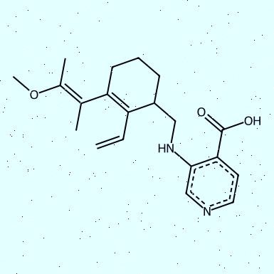 C=CC1=C(/C(C)=C(\C)OC)CCCC1CNc1cnccc1C(=O)O